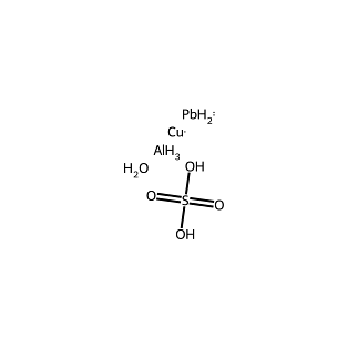 O.O=S(=O)(O)O.[AlH3].[Cu].[PbH2]